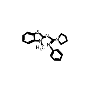 Cn1c(=NC(=Nc2ccccc2)N2CCCC2)sc2ccccc21